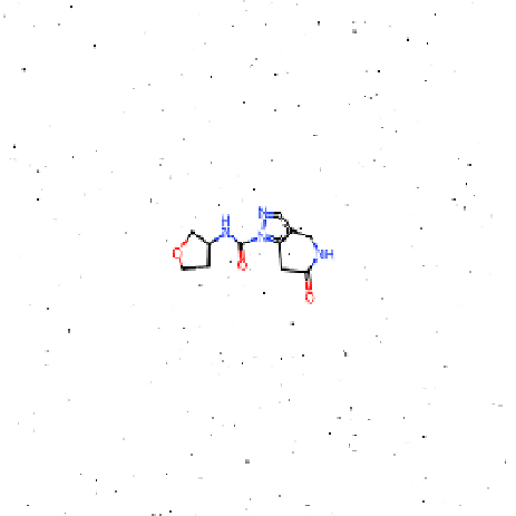 O=C1Cc2c(cnn2C(=O)NC2CCOC2)CN1